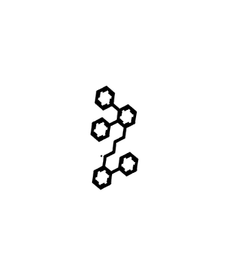 [CH](CCCc1cccc(-c2ccccc2)c1-c1ccccc1)c1ccccc1-c1ccccc1